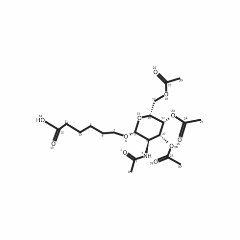 CC(=O)N[C@H]1[C@H](OCCCCCC(=O)O)O[C@H](COC(C)=O)[C@H](OC(C)=O)[C@@H]1OC(C)=O